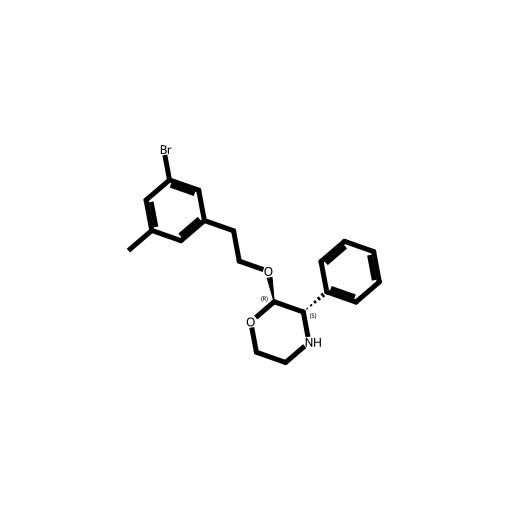 Cc1cc(Br)cc(CCO[C@@H]2OCCN[C@H]2c2ccccc2)c1